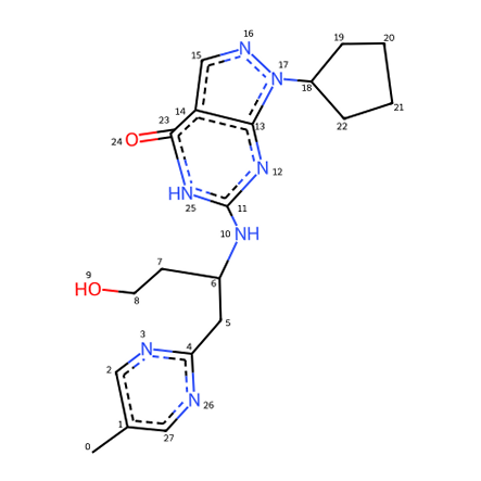 Cc1cnc(CC(CCO)Nc2nc3c(cnn3C3CCCC3)c(=O)[nH]2)nc1